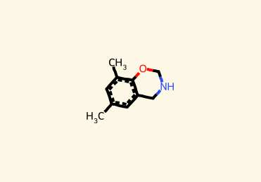 Cc1cc(C)c2c(c1)CNCO2